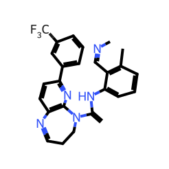 C=C(Nc1cccc(C)c1/C=N\C)N1CCC=Nc2ccc(-c3cccc(C(F)(F)F)c3)nc21